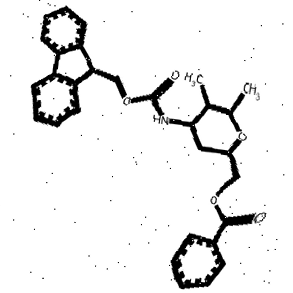 CC1OC(COC(=O)c2ccccc2)CC(NC(=O)OCC2c3ccccc3-c3ccccc32)C1C